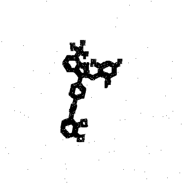 Fc1cc(F)c(Cn2nc3c(C(F)(F)F)cccc3c2-c2ccc(C#Cc3cccc(Cl)c3Cl)cc2)c(F)c1